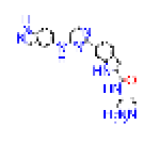 N/C=C\C(=C/N)NC(=O)c1cc2ccc(-c3nccc(Nc4ccc5[nH]ncc5c4)n3)cc2[nH]1